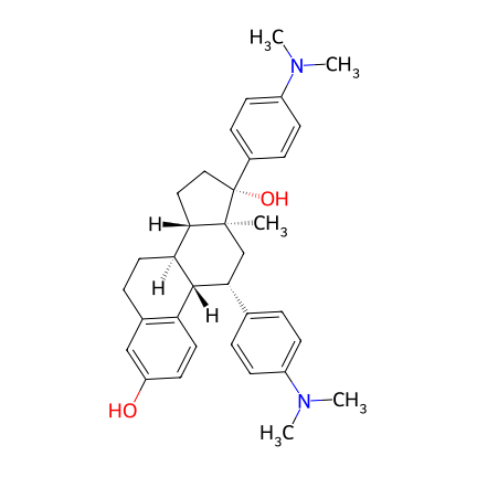 CN(C)c1ccc([C@H]2C[C@@]3(C)[C@@H](CC[C@@]3(O)c3ccc(N(C)C)cc3)[C@@H]3CCc4cc(O)ccc4[C@H]32)cc1